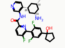 C[C@@H]1C[C@H](N)C[C@H](c2ccncc2NC(=O)c2ccc(F)c(-c3c(F)cc(C4(O)CCCC4)cc3F)n2)C1